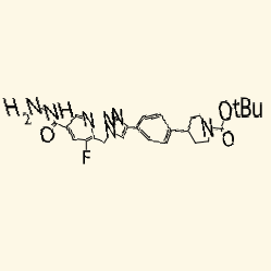 CC(C)(C)OC(=O)N1CCC(c2ccc(-c3cn(Cc4ncc(C(=O)NN)cc4F)nn3)cc2)CC1